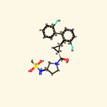 CS(=O)(=O)N[C@@H]1CCN(C(=O)[C@@H]2C[C@H]2c2c(F)cccc2-c2ccccc2F)C1